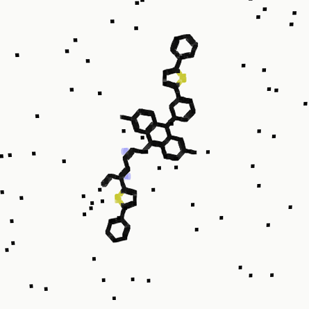 C=C/C(=C\C=C/CC1=C2C=CC(C)=CC2C(C2C=CC=C(c3ccc(-c4ccccc4)s3)C2)c2ccc(C)cc21)c1ccc(C2=CCCC=C2)s1